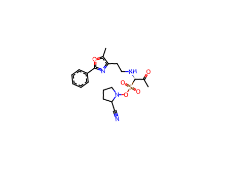 CC(=O)[C@@H](NCCc1nc(-c2ccccc2)oc1C)S(=O)(=O)ON1CCCC1C#N